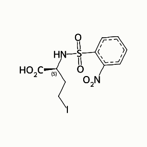 O=C(O)[C@H](CCI)NS(=O)(=O)c1ccccc1[N+](=O)[O-]